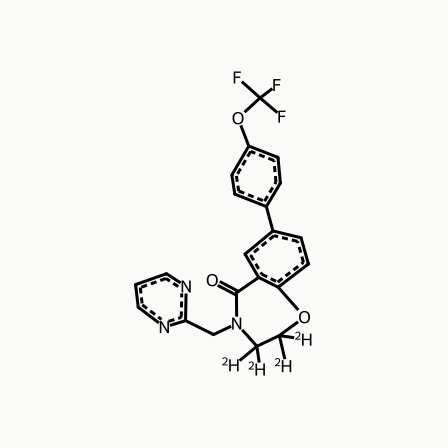 [2H]C1([2H])Oc2ccc(-c3ccc(OC(F)(F)F)cc3)cc2C(=O)N(Cc2ncccn2)C1([2H])[2H]